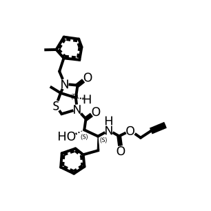 C#CCOC(=O)N[C@@H](Cc1ccccc1)[C@H](O)C(=O)N1CSC2(C)[C@H]1C(=O)N2Cc1ccccc1C